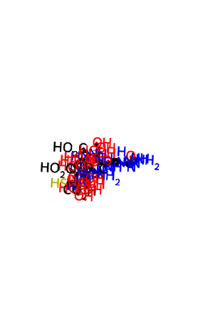 N=C(N)NCCC[C@H](NC(=O)[C@@H](NC(=O)[C@H](CCC(=O)O)NC(=O)[C@@H](NC(=O)CC[C@H](NC(=O)c1ccc(NCc2cnc3nc(N)[nH]c(=O)c3n2)cc1)C(=O)O)[C@@H](O)[C@H](O)[C@H](O)CO)[C@@H](O)[C@H](O)[C@H](O)CO)C(=O)N[C@H](C(=O)N[C@@H](CCC(=O)O)C(=O)N[C@H](C(=O)N[C@@H](CS)C(=O)O)[C@@H](O)[C@H](O)[C@H](O)CO)[C@@H](O)[C@H](O)[C@H](O)CO